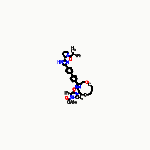 COC(=O)N[C@H](C(=O)N(C)C1CCCCCCCOCc2[nH]c1nc2-c1ccc(-c2ccc(-c3c[nH]c([C@@H]4CCCN4C(=O)[C@@H](C)C(C)C)n3)cc2)cc1)C(C)C